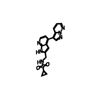 O=S(=O)(NCc1cc2c(-c3cnn4ncccc34)ccnc2[nH]1)C1CC1